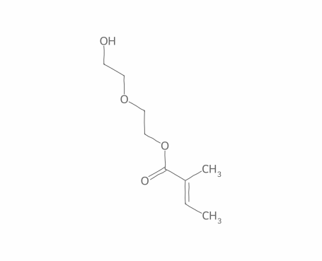 C/C=C(\C)C(=O)OCCOCCO